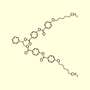 CCCCCCOc1ccc(C(=O)Oc2ccc(C(=O)OCC(OC(=O)c3ccc(OC(=O)c4ccc(OCCCCCC)cc4)cc3)c3ccccc3)cc2)cc1